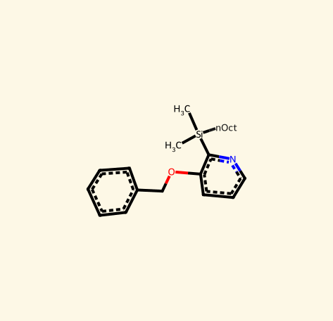 CCCCCCCC[Si](C)(C)c1ncccc1OCc1ccccc1